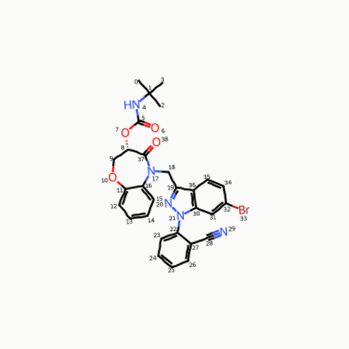 CC(C)(C)NC(=O)O[C@H]1COc2ccccc2N(Cc2nn(-c3ccccc3C#N)c3cc(Br)ccc23)C1=O